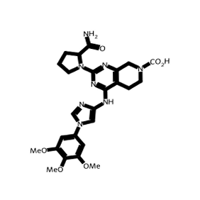 COc1cc(-n2cnc(Nc3nc(N4CCCC4C(N)=O)nc4c3CCN(C(=O)O)C4)c2)cc(OC)c1OC